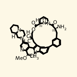 CCn1c(-c2cc(N3CCN4CCCC[C@@H]4C3)cnc2[C@H](C)OC)c2c3cc(ccc31)-c1cccc(c1)C[C@H](N)C(=O)N1CCC[C@H](N1)C(=O)OCC(C)(C)C2